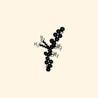 CCCCCCCCC1(CCCCCCCC)c2cc3c(cc2-c2cc4c(cc21)-c1c(cc(-c2ccc(-c5cccc(-c6cccc7c6oc6ccccc67)c5)c(-c5ccccc5)c2)c2ccccc12)C4(C)C)C(C)(C)c1cc(-c2ccc(-c4cccc(-c5cccc6c5oc5ccccc56)c4)c(-c4ccccc4)c2)c2ccccc2c1-3